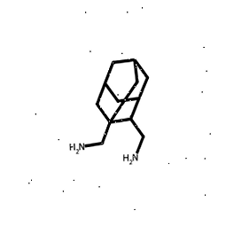 NCC1C2CC3CC(C2)CC1(CN)C3